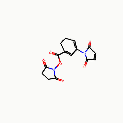 O=C(ON1C(=O)CCC1=O)C1=CC(N2C(=O)C=CC2=O)=CCC1